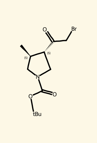 C[C@@H]1CN(C(=O)OC(C)(C)C)C[C@H]1C(=O)CBr